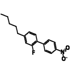 CCCCCc1ccc(-c2ccc([N+](=O)[O-])cc2)c(F)c1